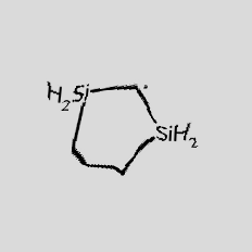 [CH]1[SiH2]CC[SiH2]1